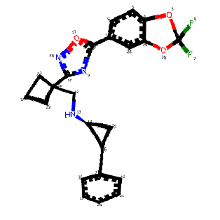 FC1(F)Oc2ccc(-c3nc(C4(CN[C@H]5CC5c5ccccc5)CCC4)no3)cc2O1